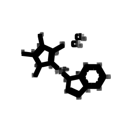 CC1=C(C)C(C)[C]([Ti+2][CH]2C=Cc3ccccc32)=C1C.[Cl-].[Cl-]